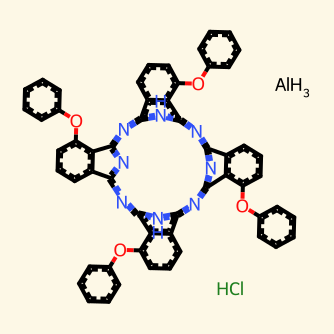 Cl.[AlH3].c1ccc(Oc2cccc3c2-c2nc-3nc3[nH]c(nc4nc(nc5[nH]c(n2)c2cccc(Oc6ccccc6)c52)-c2cccc(Oc5ccccc5)c2-4)c2cccc(Oc4ccccc4)c32)cc1